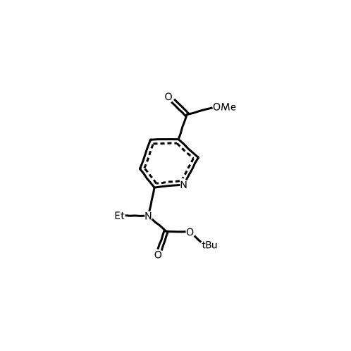 CCN(C(=O)OC(C)(C)C)c1ccc(C(=O)OC)cn1